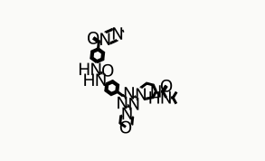 CC(C)NC(=O)N1CCCN(c2nc(-c3ccc(NC(=O)Nc4ccc(C(=O)N5CCN(C)CC5)cc4)cc3)nc(N3CCOCC3)n2)CC1